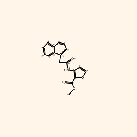 COC(=O)c1sccc1NC(=O)Cc1cccc2ccccc12